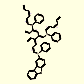 C=C/C=C\C=C/N(/C=C(\C=C(/C=C)N(/C=C\C=C/C=C)c1ccccc1)C(/C=C)=C/C=C\N(c1ccccc1)c1ccc2sc3ccccc3c2c1)c1ccccc1